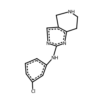 Clc1cccc(Nc2ncc3c(n2)CCNC3)c1